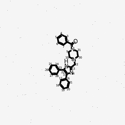 O=C(c1ccccc1)N1CCN(Cc2nc(-c3ccccc3)c(-c3ccccc3)[nH]2)CC1